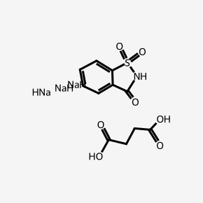 O=C(O)CCC(=O)O.O=C1NS(=O)(=O)c2ccccc21.[NaH].[NaH].[NaH]